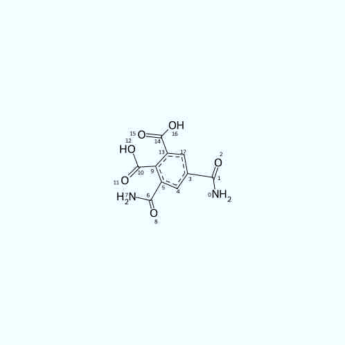 NC(=O)c1cc(C(N)=O)c(C(=O)O)c(C(=O)O)c1